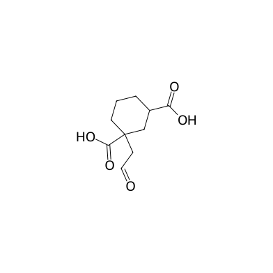 O=CCC1(C(=O)O)CCCC(C(=O)O)C1